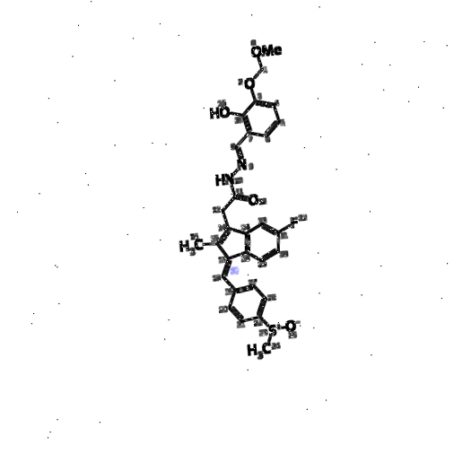 COCOc1cccc(C=NNC(=O)CC2=C(C)/C(=C/c3ccc([S+](C)[O-])cc3)c3ccc(F)cc32)c1O